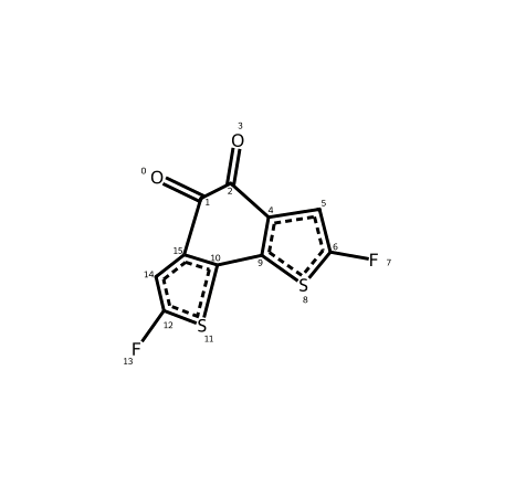 O=C1C(=O)c2cc(F)sc2-c2sc(F)cc21